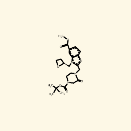 COC(=O)c1ccc2nc(CN3CCN(C(=O)OC(C)(C)C)CC3=O)n(C[C@@H]3CCO3)c2c1